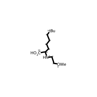 COCCNC(CCCCC(C)(C)C)C(=O)O